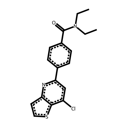 CCN(CC)C(=O)c1ccc(-c2cc(Cl)c3sccc3n2)cc1